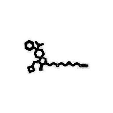 COCCOCCOCCN1C[C@]2(CC[C@](c3ccccc3)(N(C)C)CC2)N(CC2CCC2)C1=O